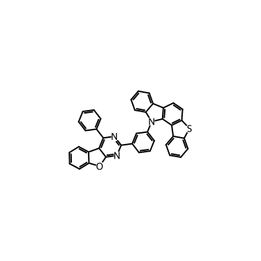 c1ccc(-c2nc(-c3cccc(-n4c5ccccc5c5ccc6sc7ccccc7c6c54)c3)nc3oc4ccccc4c23)cc1